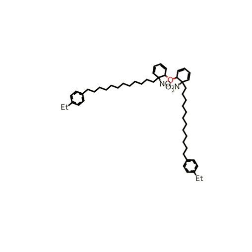 CCc1ccc(CCCCCCCCCCCCC2([N+](=O)[O-])C=CC=CC2OC2C=CC=CC2(CCCCCCCCCCCCc2ccc(CC)cc2)[N+](=O)[O-])cc1